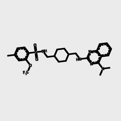 Cc1ccc(S(=O)(=O)NCC2CCC(CNc3nc(N(C)C)c4ccccc4n3)CC2)c(OC(F)(F)F)c1